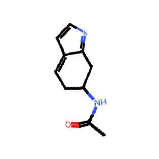 CC(=O)NC1CC=C2C=CN=C2C1